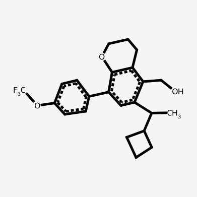 CC(c1cc(-c2ccc(OC(F)(F)F)cc2)c2c(c1CO)CCCO2)C1CCC1